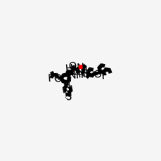 C=C(N)N(/N=C\C(C)C(=O)c1cc2c([nH]1)=CC(N1CCN(SC)CC1)=CC(OCC(C)F)C=2)C(=C/C)/C(C)=C\COC(/C=C\C)=C(F)/C=C\C